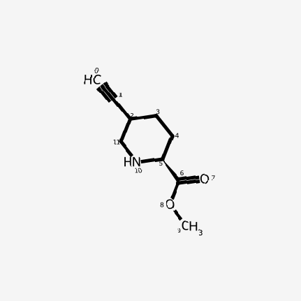 C#CC1CC[C@@H](C(=O)OC)NC1